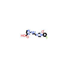 COc1ccc(F)cc1N1CCN(CCCNc2nccc(C(=O)O)n2)CC1